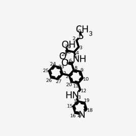 CSCCC(NC(=O)c1ccc(CNc2ccncc2)cc1-c1ccccc1)C(=O)O